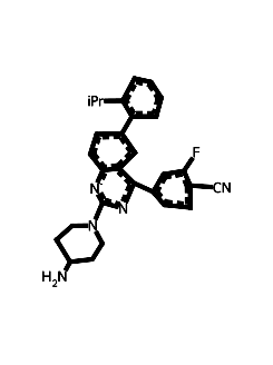 CC(C)c1ccccc1-c1ccc2nc(N3CCC(N)CC3)nc(-c3ccc(C#N)c(F)c3)c2c1